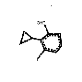 O=Cc1cccc(I)c1C1CC1